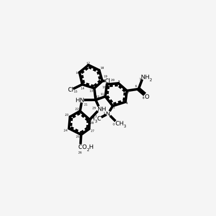 CN(C)c1cc(C(N)=O)ccc1C1(c2c(Cl)cccc2Cl)Nc2ccc(C(=O)O)cc2N1